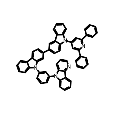 c1ccc(-c2cc(-n3c4ccccc4c4cc(-c5ccc6c7ccccc7n(-c7cccc(-n8c9ccccc9c9ncccc98)c7)c6c5)ccc43)cc(-c3ccccc3)n2)cc1